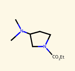 CCOC(=O)N1CCC(N(C)C)C1